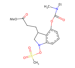 CCN(C)C(=O)Oc1cccc2c1C(CCC(=O)OC)CN2OS(C)(=O)=O